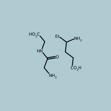 CCC(N)CCC(=O)O.NCC(=O)NCC(=O)O